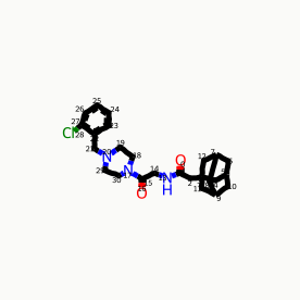 O=C(CC12CC3CC(CC(C3)C1)C2)NCC(=O)N1CCN(Cc2ccccc2Cl)CC1